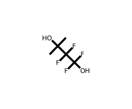 CC(C)(O)C(F)(F)C(O)(F)F